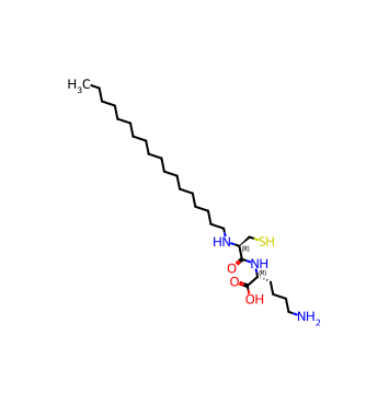 CCCCCCCCCCCCCCCCCCN[C@@H](CS)C(=O)N[C@H](CCCCN)C(=O)O